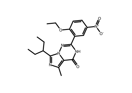 CCOc1ccc([N+](=O)[O-])cc1-c1nn2c(C(CC)CC)nc(C)c2c(=O)[nH]1